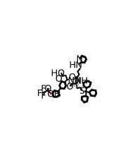 O=C(O)C(F)(F)F.O=C(O)CC(NC(=O)[C@H](CCSC(c1ccccc1)(c1ccccc1)c1ccccc1)NC(=O)CCCNc1ccccn1)c1ccc(-c2ccccc2)cc1